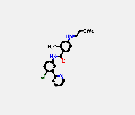 COCCNc1ccc(C(=O)Nc2ccc(Cl)c(-c3ccccn3)c2)c(C)c1